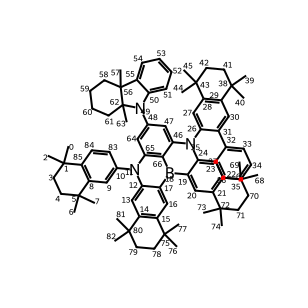 CC1(C)CCC(C)(C)c2cc(N3c4cc5c(cc4B4c6cc7c(cc6N(c6cc8c(cc6-c6ccccc6)C(C)(C)CCC8(C)C)c6cc(N8c9ccccc9C9(C)CCCCC89C)cc3c64)C(C)(C)CCC7(C)C)C(C)(C)CCC5(C)C)ccc21